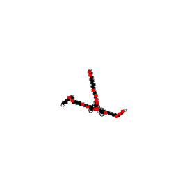 CCCC/C=C\CCCCCCCC(=O)OC[C@H](COC(=O)CCCCCCCCC/C=C\C/C=C\CCCCC)OC(=O)CCCCCCCCCCCCCCCCCCC